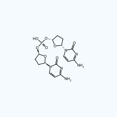 Nc1ccn([C@H]2CC[C@@H](OP(=O)(O)O[C@@H]3CC[C@H](n4ccc(N)nc4=O)O3)O2)c(=O)n1